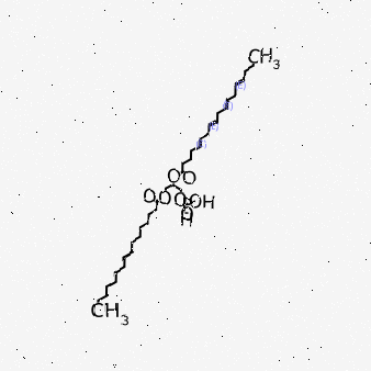 CCC/C=C/C/C=C/C/C=C/C/C=C/CCCC(=O)OC(COC(=O)CCCCCCCCCCCCCCC)CO[PH](=O)O